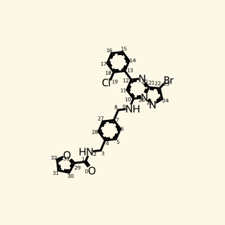 O=C(NCc1ccc(CNc2cc(-c3ccccc3Cl)nc3c(Br)cnn23)cc1)c1ccco1